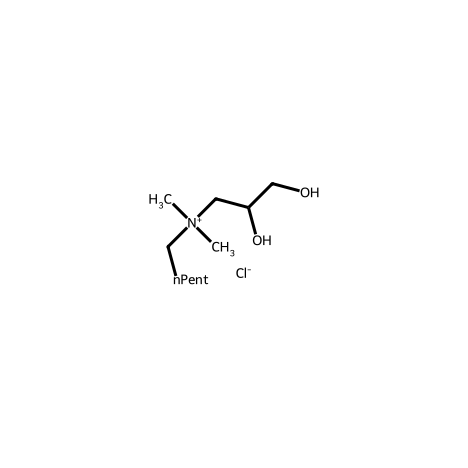 CCCCCC[N+](C)(C)CC(O)CO.[Cl-]